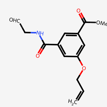 C=CCOc1cc(C(=O)NCC=O)cc(C(=O)OC)c1